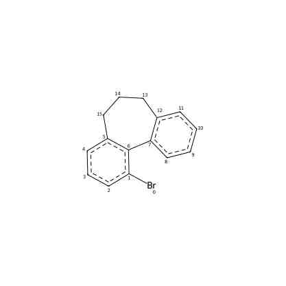 Brc1cccc2c1-c1ccccc1CCC2